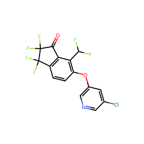 O=C1c2c(ccc(Oc3cncc(Cl)c3)c2C(F)F)C(F)(F)C1(F)F